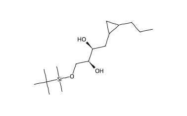 CCCC1CC1C[C@H](O)[C@@H](O)CO[Si](C)(C)C(C)(C)C